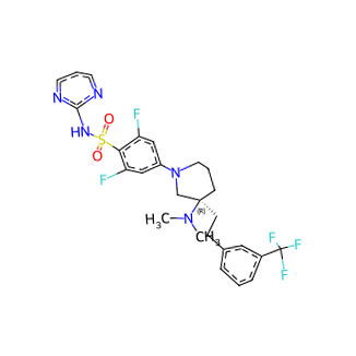 CN(C)[C@]1(CCc2cccc(C(F)(F)F)c2)CCCN(c2cc(F)c(S(=O)(=O)Nc3ncccn3)c(F)c2)C1